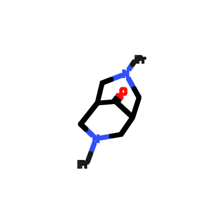 CC(C)N1CC2CN(C(C)C)CC(C1)C2=O